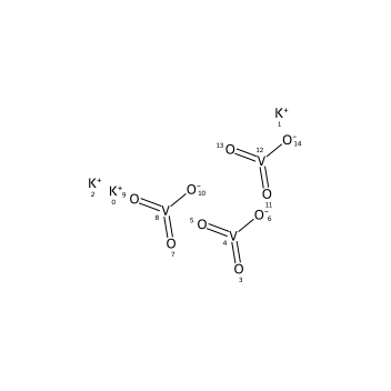 [K+].[K+].[K+].[O]=[V](=[O])[O-].[O]=[V](=[O])[O-].[O]=[V](=[O])[O-]